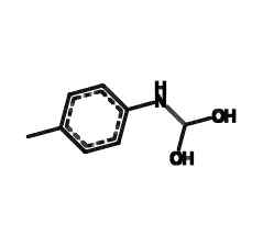 Cc1ccc(NC(O)O)cc1